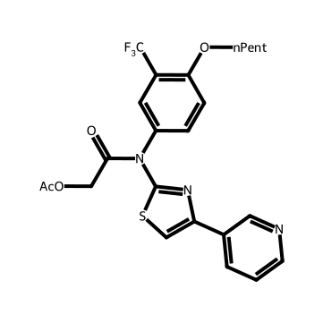 CCCCCOc1ccc(N(C(=O)COC(C)=O)c2nc(-c3cccnc3)cs2)cc1C(F)(F)F